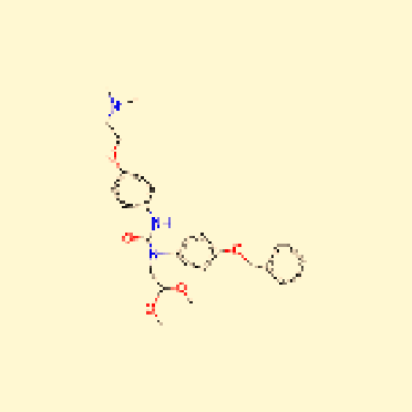 COC(CN(C(=O)Nc1ccc(OCCN(C)C)cc1)c1ccc(OCc2ccccc2)cc1)OC